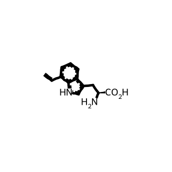 C=Cc1cccc2c(C[C@H](N)C(=O)O)c[nH]c12